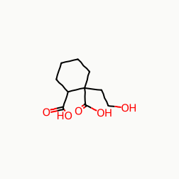 O=C(O)C1CCCCC1(CCO)C(=O)O